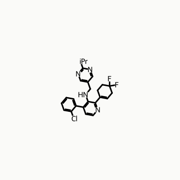 CC(C)c1ncc(CNc2c(-c3ccccc3Cl)ccnc2C2=CCC(F)(F)CC2)cn1